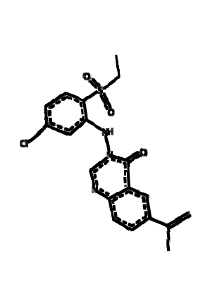 C=C(C)c1ccc2ncn(Nc3cc(Cl)ccc3S(=O)(=O)CC)c(=O)c2c1